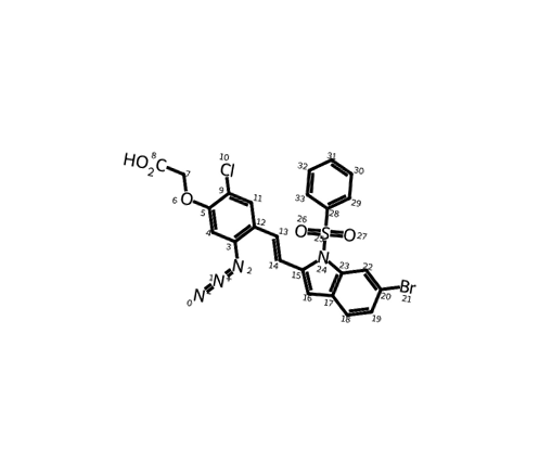 [N-]=[N+]=Nc1cc(OCC(=O)O)c(Cl)cc1C=Cc1cc2ccc(Br)cc2n1S(=O)(=O)c1ccccc1